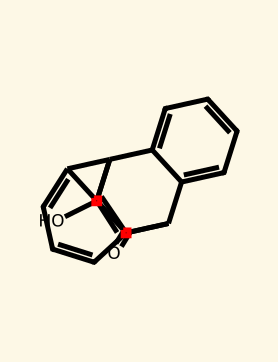 O=C1C2c3ccccc3C3(c4cccc2c43)C1O